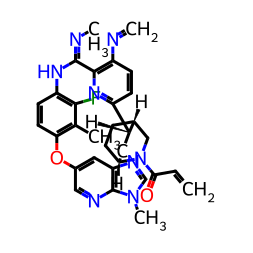 C=CC(=O)N1C[C@H]2CC[C@@H]1C[C@@H]2c1ccc(N=C)c(/C(=N\C)Nc2ccc(Oc3cnc4c(c3)ncn4C)c(C)c2F)n1